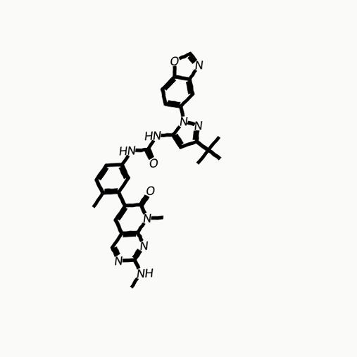 CNc1ncc2cc(-c3cc(NC(=O)Nc4cc(C(C)(C)C)nn4-c4ccc5ocnc5c4)ccc3C)c(=O)n(C)c2n1